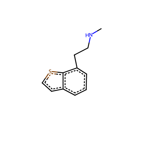 CNCCc1cccc2ccsc12